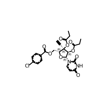 C#C[C@@]1(OC(=O)CC)[C@@H](COC(=O)c2ccc(Cl)cc2)O[C@@H](n2ccc(=O)[nH]c2=O)[C@@H]1OC(=O)CC